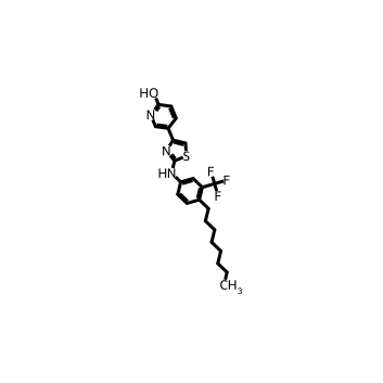 CCCCCCCCc1ccc(Nc2nc(-c3ccc(O)nc3)cs2)cc1C(F)(F)F